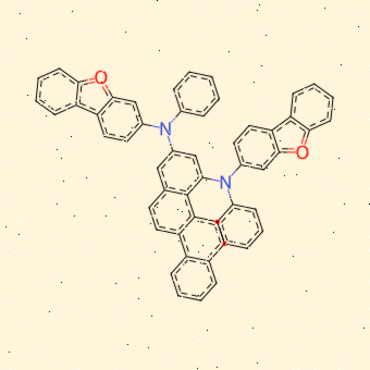 c1ccc(N(c2cc(N(c3ccccc3)c3ccc4c(c3)oc3ccccc34)c3c(ccc4c5ccccc5ccc43)c2)c2ccc3c(c2)oc2ccccc23)cc1